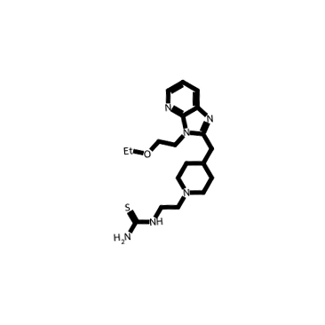 CCOCCn1c(CC2CCN(CCNC(N)=S)CC2)nc2cccnc21